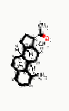 CC(=O)[C@H]1CC[C@H]2[C@@H]3CCC4=CCCC(C)[C@]4(C)[C@H]3CC[C@]12C